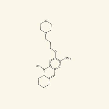 COc1cc2c(cc1OCCCN1CCOCC1)N(C(C)C)C1CCCCC1=C2